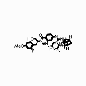 COc1ccc(C[C@@H](CO)n2cnc3cc(N=C(N[C@H]4C[C@@H]5C[C@@H]([C@H]4C)C5(C)C)N4C[C@@H](C)N[C@@H](C)C4)ccc3c2=O)c(F)c1